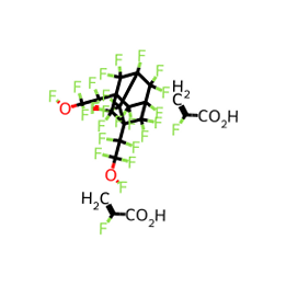 C=C(F)C(=O)O.C=C(F)C(=O)O.FOC(F)(F)C(F)(F)C12C(F)(F)C3(F)C(F)(F)C(F)(C1(F)F)C(F)(F)C(C(F)(F)C(F)(F)OF)(C3(F)F)C2(F)F